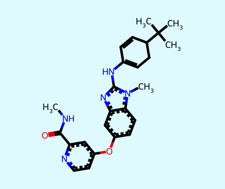 CNC(=O)c1cc(Oc2ccc3c(c2)nc(NC2=CCC(C(C)(C)C)C=C2)n3C)ccn1